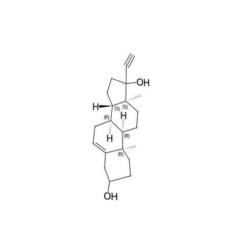 C#CC1(O)CC[C@H]2[C@@H]3CC=C4CC(O)CC[C@]4(C)[C@@H]3CC[C@@]21C